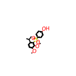 COc1ccc(C(C)C)c(S(=O)(=O)c2ccc(O)cc2)c1OC